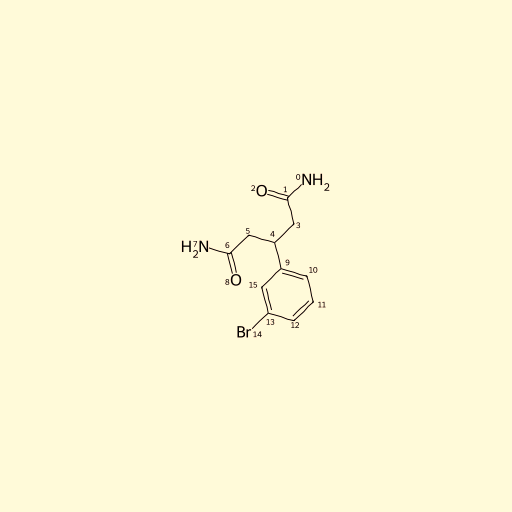 NC(=O)CC(CC(N)=O)c1cccc(Br)c1